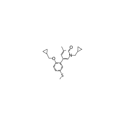 CSc1ccc(OCC2CC2)c(/C(C=C(C)C)=C/N(C=O)CC2CC2)c1